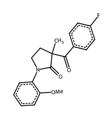 COc1ccccc1N1CCC(C)(C(=O)c2ccc(F)cc2)C1=O